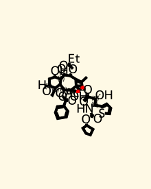 CCC(=O)OC1C(=O)[C@]2(C)C(O)C[C@H]3OC[C@@]3(OC(C)=O)C2[C@H](OC(=O)c2ccccc2)[C@]2(O)C[C@H](OC(=O)[C@H](O)[C@@H](NC(=O)OC3CCCC3)c3cccs3)C(C)=C1C2(C)C